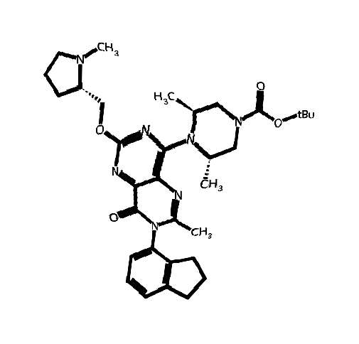 Cc1nc2c(N3[C@@H](C)CN(C(=O)OC(C)(C)C)C[C@@H]3C)nc(OC[C@@H]3CCCN3C)nc2c(=O)n1-c1cccc2c1CCC2